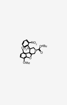 COc1ccc(C(=O)O)c2c3c(oc12)CN(C(=O)OC(C)(C)C)CC3c1ccccc1[N+](=O)[O-]